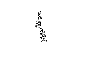 COC(=O)Nc1nc(C)c(S(=O)(=O)N2CCN(CC(C)Nc3ncnc4c(-c5cncc(CN6CCCC6)c5)cccc34)CC2)s1